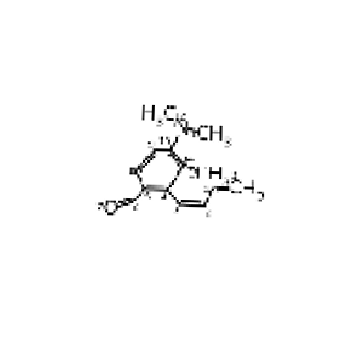 C=C/C=C\c1c(C=O)ccc(N(C)C)c1C